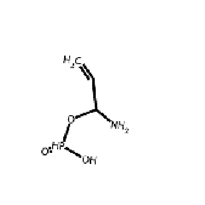 C=CC(N)O[PH](=O)O